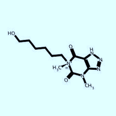 CN1C(=O)[N@+](C)(CCCCCCO)C(=O)c2[nH]nnc21